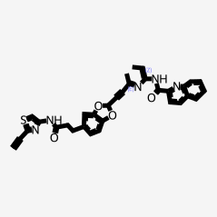 C#Cc1nc(NC(=O)CCc2ccc3c(c2)OC(C#C/C(C)=N/C(=C\C)NC(=O)c2ccc4ccccc4n2)O3)cs1